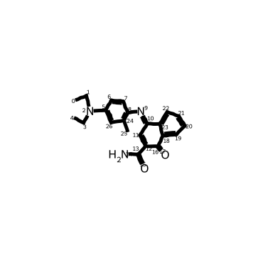 CCN(CC)c1ccc(N=C2C=C(C(N)=O)C(=O)c3ccccc32)c(C)c1